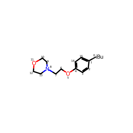 CCC(C)c1ccc(OCCN2CCOCC2)cc1